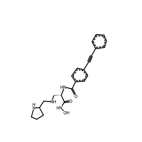 O=C(N[C@@H](CNCC1CCCN1)C(=O)NO)c1ccc(C#Cc2ccccc2)cc1